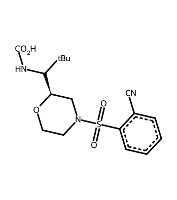 CC(C)(C)C(NC(=O)O)[C@H]1CN(S(=O)(=O)c2ccccc2C#N)CCO1